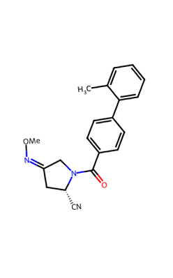 CON=C1C[C@@H](C#N)N(C(=O)c2ccc(-c3ccccc3C)cc2)C1